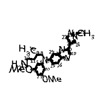 COc1cc(OC)cc(N(C[C@H](C)CCN)c2ccc3ncc(-c4cnn(C)c4)nc3c2)c1